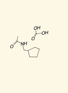 CC(=O)NCC1CCCC1.O=C(O)O